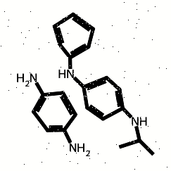 CC(C)Nc1ccc(Nc2ccccc2)cc1.Nc1ccc(N)cc1